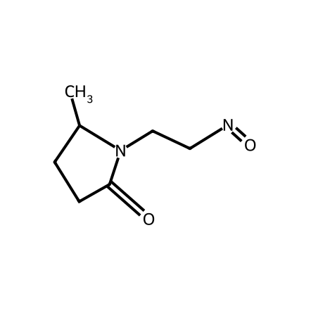 CC1CCC(=O)N1CCN=O